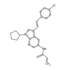 C=CC(=O)Nc1cnc2c(c1)c(C=Cc1ccc(Cl)cc1)cn2C1CCCC1